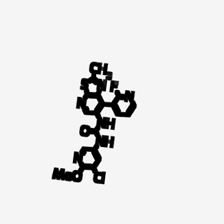 COc1ncc(NC(=O)Nc2cnc3sc(C)nc3c2-c2cccnc2F)cc1Cl